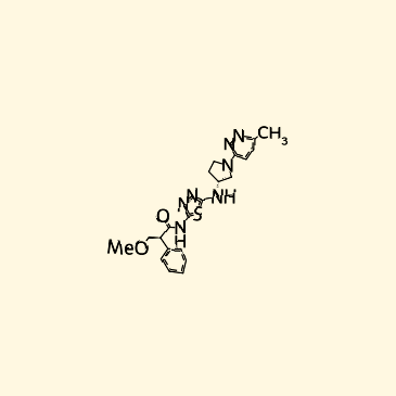 COC[C@@H](C(=O)Nc1nnc(N[C@@H]2CCN(c3ccc(C)nn3)C2)s1)c1ccccc1